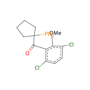 COc1c(Cl)ccc(Cl)c1C(=O)C1(P)CCCC1